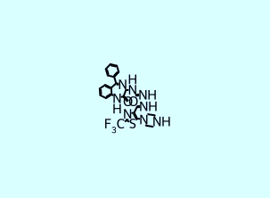 N=C(NC1N=C(c2ccccc2)c2ccccc2NC1=O)OC(=N)c1nc(C(F)(F)F)sc1N1CCNCC1